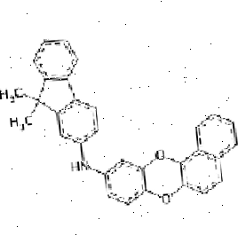 CC1(C)c2ccccc2-c2ccc(Nc3ccc4c(c3)Oc3c(ccc5ccccc35)O4)cc21